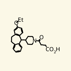 CCOc1ccc2c(c1)CCc1ccccc1C2C1CCN(C(=O)CCC(=O)O)CC1